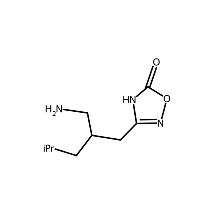 CC(C)CC(CN)Cc1noc(=O)[nH]1